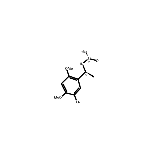 COc1cc(OC)c([C@H](C)N[S@@+]([O-])C(C)(C)C)cc1C#N